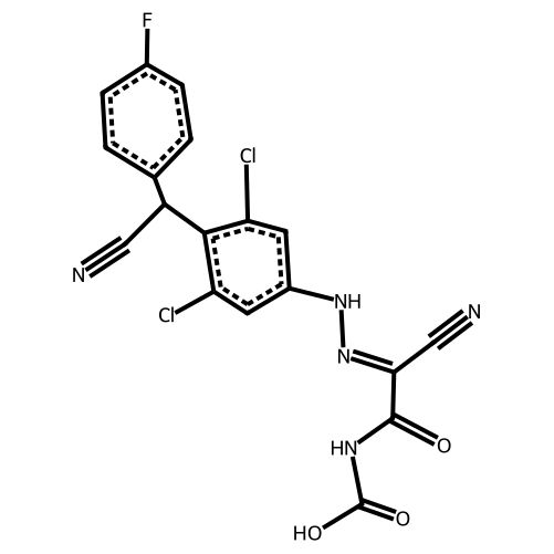 N#C/C(=N\Nc1cc(Cl)c(C(C#N)c2ccc(F)cc2)c(Cl)c1)C(=O)NC(=O)O